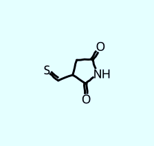 O=C1CC(C=S)C(=O)N1